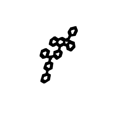 c1ccc(-c2ccc(N(c3ccccc3)c3cccc(-c4c5ccccc5cc5c4c4ccccc4n5-c4ccccc4)c3)cc2)cc1